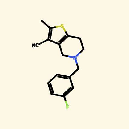 Cc1sc2c(c1C#N)CN(Cc1cccc(F)c1)CC2